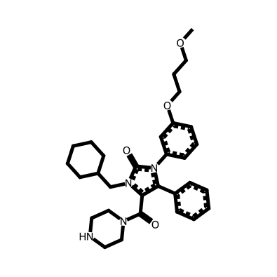 COCCCOc1cccc(-n2c(-c3ccccc3)c(C(=O)N3CCNCC3)n(CC3CCCCC3)c2=O)c1